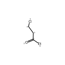 [CH2]CC(=O)CCCl